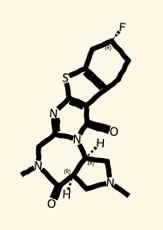 CN1C[C@H]2C(=O)N(C)Cc3nc4sc5c(c4c(=O)n3[C@H]2C1)CC[C@@H](F)C5